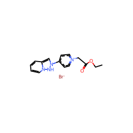 CCOC(=O)C[n+]1ccc(N2C=C3C=CC=CN3N2)cc1.[Br-]